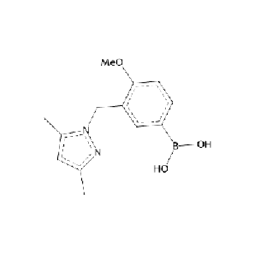 COc1ccc(B(O)O)cc1Cn1nc(C)cc1C